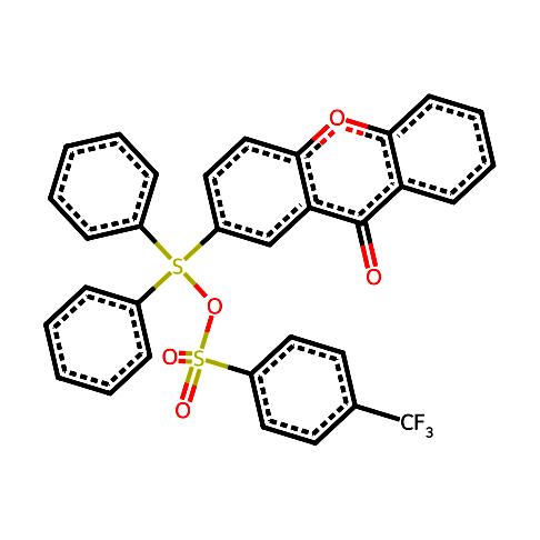 O=c1c2ccccc2oc2ccc(S(OS(=O)(=O)c3ccc(C(F)(F)F)cc3)(c3ccccc3)c3ccccc3)cc12